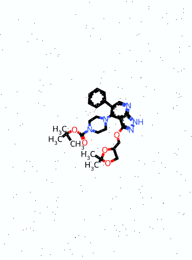 CC(C)(C)OC(=O)N1CCN(c2c(-c3ccccc3)cnc3[nH]nc(OCC4COC(C)(C)O4)c23)CC1